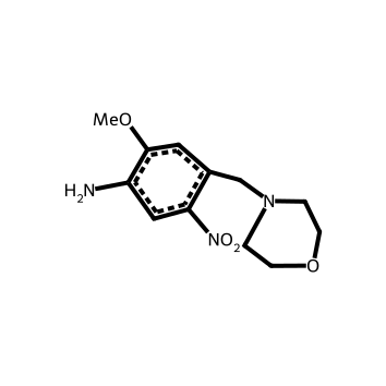 COc1cc(CN2CCOCC2)c([N+](=O)[O-])cc1N